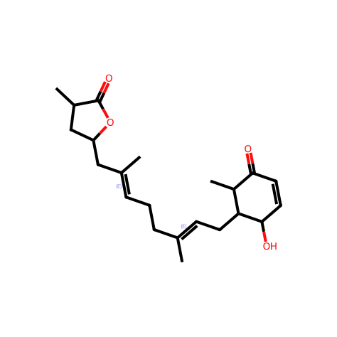 C/C(=C\CC1C(O)C=CC(=O)C1C)CC/C=C(\C)CC1CC(C)C(=O)O1